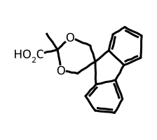 CC1(C(=O)O)OCC2(CO1)c1ccccc1-c1ccccc12